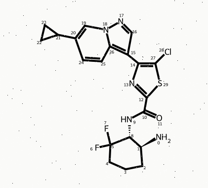 N[C@H]1CCCC(F)(F)[C@@H]1NC(=O)c1nc(-c2cnn3cc(C4CC4)ccc23)c(Cl)s1